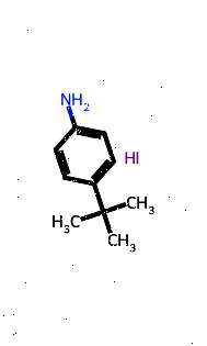 CC(C)(C)c1ccc(N)cc1.I